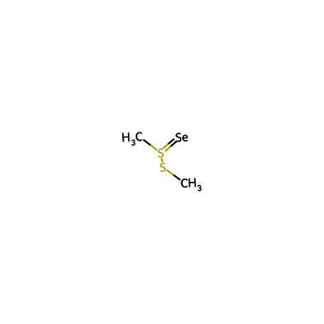 CSS(C)=[Se]